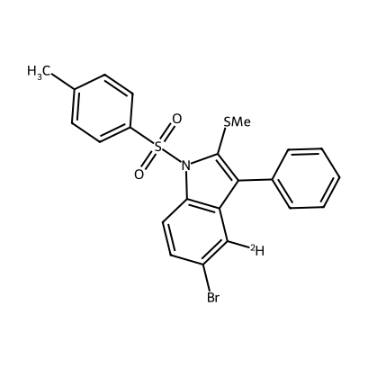 [2H]c1c(Br)ccc2c1c(-c1ccccc1)c(SC)n2S(=O)(=O)c1ccc(C)cc1